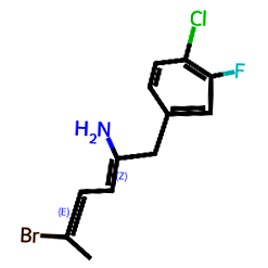 C/C(Br)=C\C=C(/N)Cc1ccc(Cl)c(F)c1